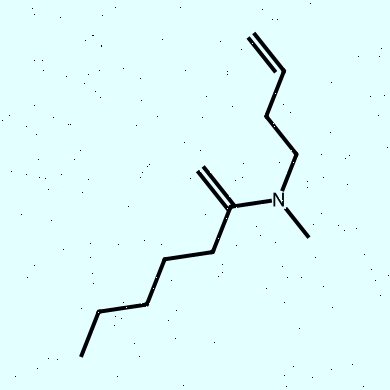 C=CCCN(C)C(=C)CCCCC